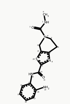 CNC(=O)N1CCc2nc(C(=O)Nc3ccccc3N)sc2C1